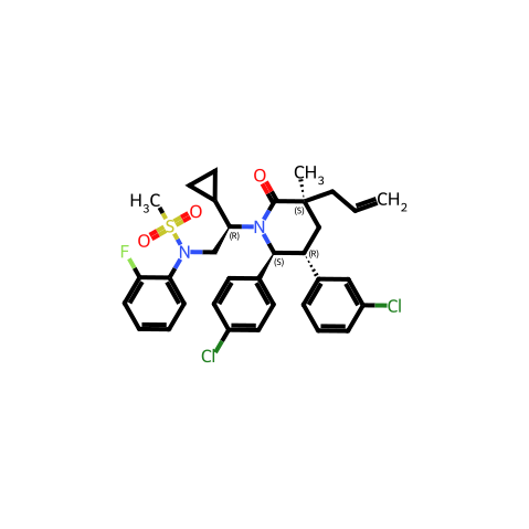 C=CC[C@@]1(C)C[C@H](c2cccc(Cl)c2)[C@@H](c2ccc(Cl)cc2)N([C@@H](CN(c2ccccc2F)S(C)(=O)=O)C2CC2)C1=O